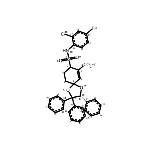 CCOC(=O)C1=CC2(CCC1S(=O)(=O)Nc1ccc(F)cc1Cl)O[C@H](c1ccccc1)C(c1ccccc1)(c1ccccc1)O2